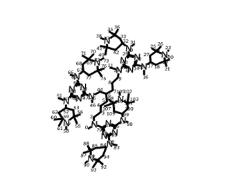 CN(CCCCC(CCCN(C)c1nc(N(C)C2CC(C)(C)N(C)C(C)(C)C2)nc(N(C)C2CC(C)(C)N(C)C(C)(C)C2)n1)CN(C)c1nc(N(C)C2CC(C)(C)N(C)C(C)(C)C2)nc(N(C)C2CC(C)(C)N(C)C(C)(C)C2)n1)c1nc(N(C)C2CC(C)(C)N(C)C(C)(C)C2)nc(N(C)C2CC(C)(C)N(C)C(C)(C)C2)n1